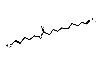 C=CCCCCCCCCC(=O)OCCCC=CC